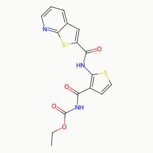 CCOC(=O)NC(=O)c1ccsc1NC(=O)c1cc2cccnc2s1